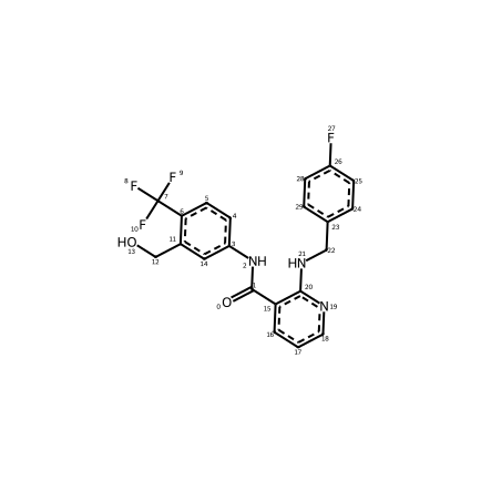 O=C(Nc1ccc(C(F)(F)F)c(CO)c1)c1cccnc1NCc1ccc(F)cc1